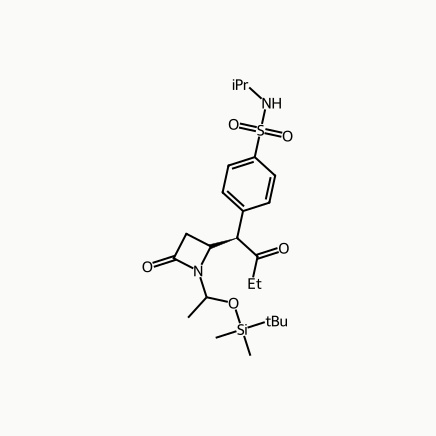 CCC(=O)[C@H](c1ccc(S(=O)(=O)NC(C)C)cc1)C1CC(=O)N1C(C)O[Si](C)(C)C(C)(C)C